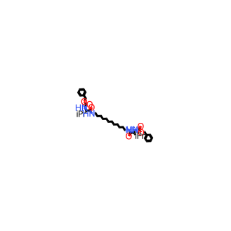 CC(C)C(NC(=O)OCc1ccccc1)C(=O)NCCCCCCCCCCCCNC(=O)C(NC(=O)OCc1ccccc1)C(C)C